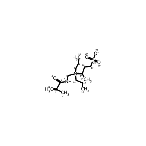 C=C(C)C(=O)NC[N+](CCC)(CCC)C(C)CCS(=O)(=O)[O-]